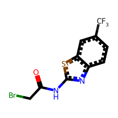 O=C(CBr)Nc1nc2ccc(C(F)(F)F)cc2s1